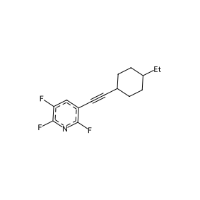 CCC1CCC(C#Cc2cc(F)c(F)nc2F)CC1